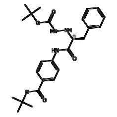 CC(C)(C)OC(=O)NN[C@@H](Cc1ccccc1)C(=O)Nc1ccc(C(=O)OC(C)(C)C)cc1